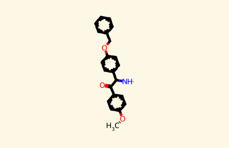 COc1ccc(C(=O)C([NH])c2ccc(OCc3ccccc3)cc2)cc1